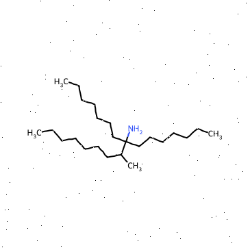 CCCCCCCC(C)C(N)(CCCCCCC)CCCCCCC